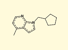 Cc1ccnc2c1ccn2CC1CCCC1